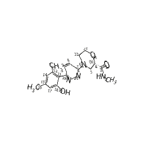 CNC(=O)[C@@H]1CN(c2ccc(-c3c(C)cc(C)cc3O)nn2)CCO1